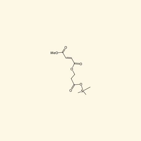 COC(=O)C=CC(=O)OCCC(=O)O[Si](C)(C)C